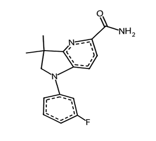 CC1(C)CN(c2cccc(F)c2)c2ccc(C(N)=O)nc21